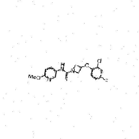 COc1ccc(NC(=S)N2CC(Oc3ccc(F)cc3Cl)C2)cn1